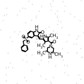 Cc1[nH]c(/C=C2\C(=O)Nc3ccc(S(=O)(=O)Cc4ccccc4)cc32)c(C)c1C(=O)N1C[C@@H](C)N[C@@H](C)C1